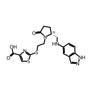 O=C(O)c1csc(SCCN2C(=O)CC[C@@H]2CNc2ccc3[nH]ncc3c2)n1